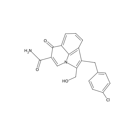 NC(=O)c1cn2c(CO)c(Cc3ccc(Cl)cc3)c3cccc(c1=O)c32